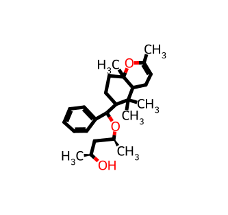 CC1=CCC2C(C)(CCC(C(O[C@@H](C)C[C@H](C)O)c3ccccc3)C2(C)C)O1